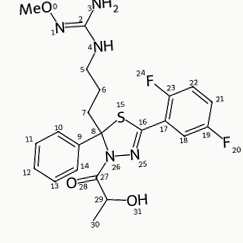 CON=C(N)NCCCC1(c2ccccc2)SC(c2cc(F)ccc2F)=NN1C(=O)C(C)O